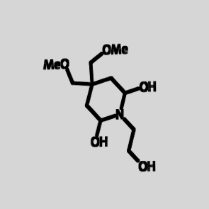 COCC1(COC)CC(O)N(CCO)C(O)C1